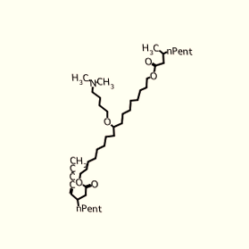 C=C=C=C=CC(CCCCC)CC(=O)OCCCCCCCCC(CCCCCCCCOC(=O)CC(C)CCCCC)OCCCCN(C)C